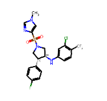 Cn1cnc(S(=O)(=O)N2C[C@@H](Nc3ccc(C(F)(F)F)c(Cl)c3)[C@H](c3ccc(F)cc3)C2)c1